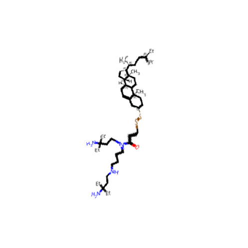 CC[C@H](CC[C@@H](C)[C@H]1CC[C@H]2[C@@H]3CC=C4C[C@@H](SSCCC(=O)N(CCCCNCCC(N)(CC)CC)CCC(N)(CC)CC)CC[C@]4(C)C3CC[C@]12C)C(C)C